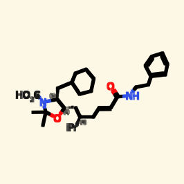 CC(C)[C@H](CC=CC(=O)NCCc1ccccc1)C[C@@H]1OC(C)(C)N(C(=O)O)[C@H]1CC1CCCCC1